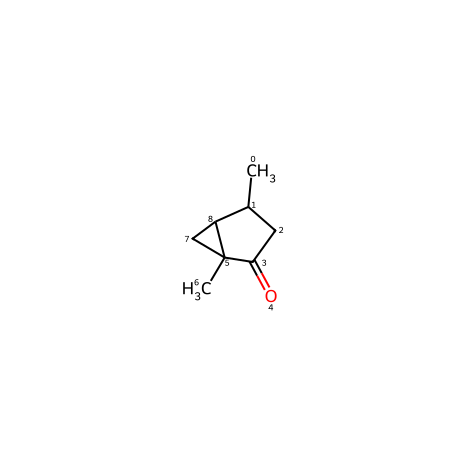 CC1CC(=O)C2(C)CC12